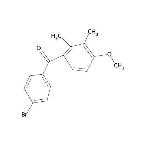 COc1ccc(C(=O)c2ccc(Br)cc2)c(C)c1C